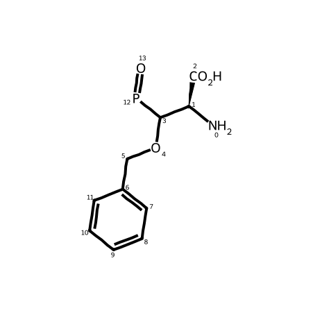 N[C@H](C(=O)O)C(OCc1ccccc1)P=O